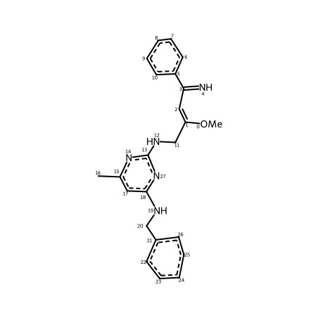 CO/C(=C\C(=N)c1ccccc1)CNc1nc(C)cc(NCc2ccccc2)n1